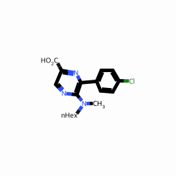 CCCCCCN(C)c1ncc(C(=O)O)nc1-c1ccc(Cl)cc1